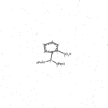 CCCCCP(CCCCC)c1ccccc1S(=O)(=O)O